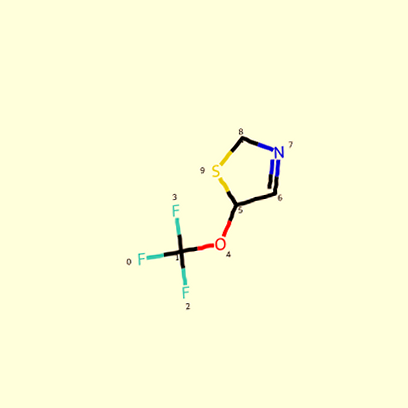 FC(F)(F)OC1C=N[CH]S1